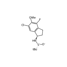 COc1c(Cl)cc2c(c1F)CC[C@H]2N[S@+]([O-])C(C)(C)C